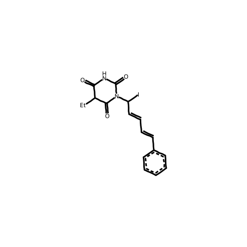 CCC1C(=O)NC(=O)N(C(I)C=CC=Cc2ccccc2)C1=O